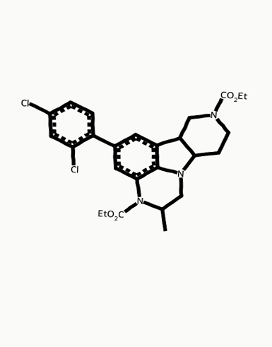 CCOC(=O)N1CCC2C(C1)c1cc(-c3ccc(Cl)cc3Cl)cc3c1N2CC(C)N3C(=O)OCC